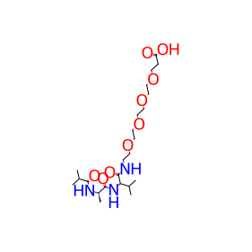 CC(C)C(=O)N[C@H](C)C(=O)NC(C(=O)NCCOCCOCCOCCOCCC(=O)O)C(C)C